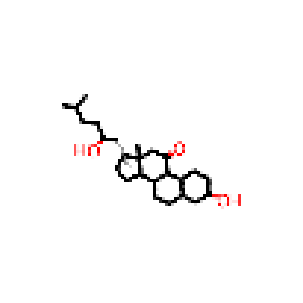 CC(C)CCC(O)C[C@H]1CCC2C3CCC4CC(O)CCC4C3C(=O)CC21C